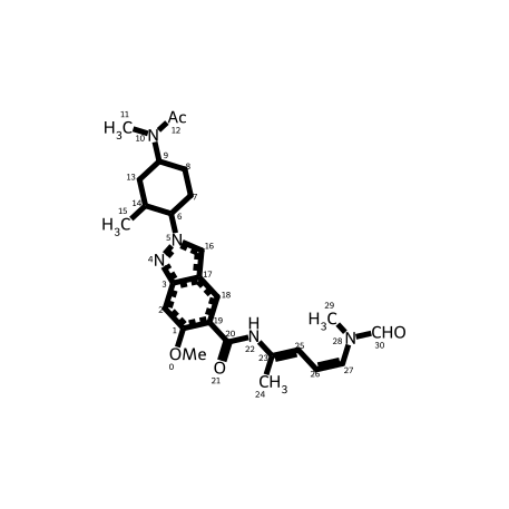 COc1cc2nn(C3CCC(N(C)C(C)=O)CC3C)cc2cc1C(=O)N/C(C)=C/C=C\N(C)C=O